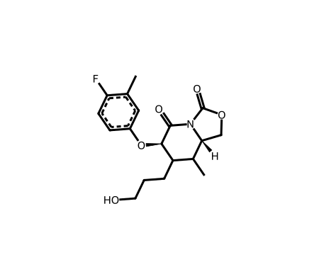 Cc1cc(O[C@H]2C(=O)N3C(=O)OC[C@@H]3C(C)C2CCCO)ccc1F